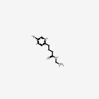 CCOC(=O)CCCc1ccc(F)cn1